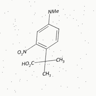 CNc1ccc(C(C)(C)C(=O)O)c([N+](=O)[O-])c1